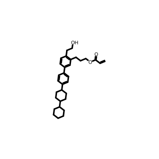 C=CC(=O)OCCCc1cc(-c2ccc(C3CCC(C4CCCCC4)CC3)cc2)ccc1CCO